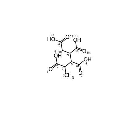 CC(C(=O)O)C(C(=O)O)C(CC(=O)O)C(=O)O